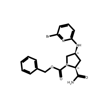 NC(=O)[C@@H]1C[C@H](Nc2cccc(Br)n2)CN1C(=O)OCc1ccccc1